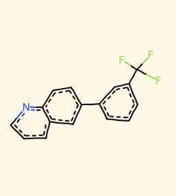 FC(F)(F)c1cccc(-c2ccc3ncccc3c2)c1